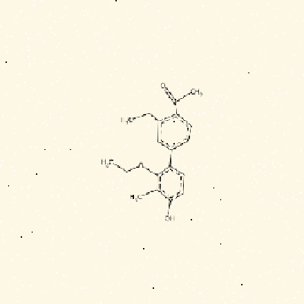 CCOc1c(-c2ccc(C(C)=O)c(CC)c2)ccc(O)c1C